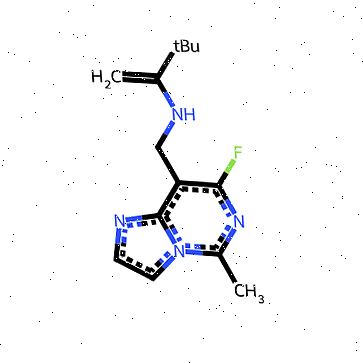 C=C(NCc1c(F)nc(C)n2ccnc12)C(C)(C)C